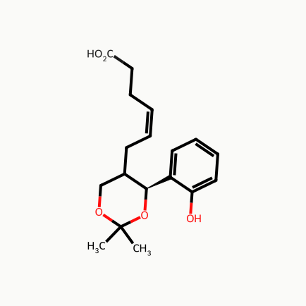 CC1(C)OCC(C/C=C\CCC(=O)O)[C@@H](c2ccccc2O)O1